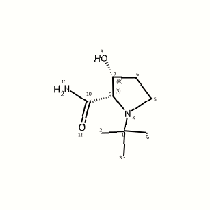 CC(C)(C)N1CC[C@@H](O)[C@H]1C(N)=O